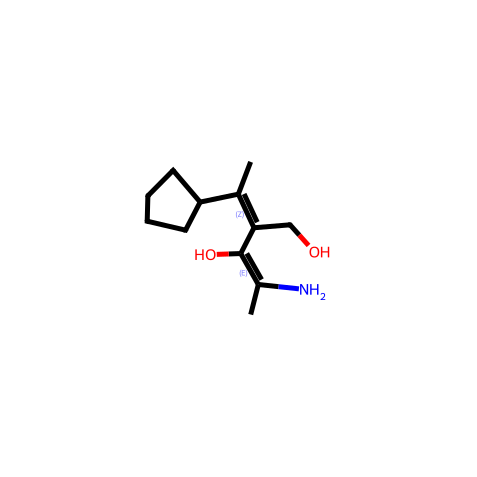 C/C(=C(CO)/C(O)=C(/C)N)C1CCCC1